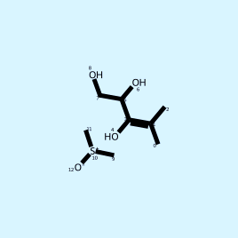 CC(C)=C(O)C(O)CO.C[S+](C)[O-]